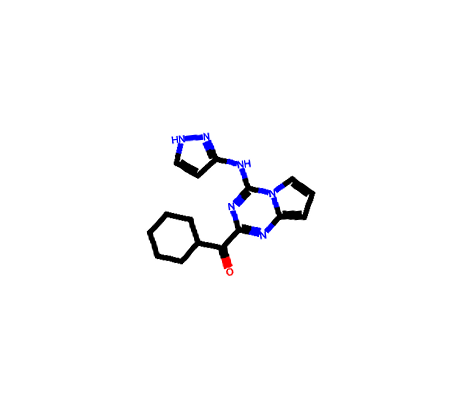 O=C(c1nc(Nc2cc[nH]n2)n2cccc2n1)C1CCCCC1